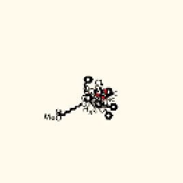 COC(=O)CCCCCCCCO[C@@H]1O[C@H](COCc2ccccc2)[C@@H](O[C@@H]2O[C@H](CCl)[C@H](OC(C)=O)[C@H](OC(C)=O)[C@H]2OC(C)=O)[C@H](O[C@@H]2O[C@@H](C)[C@@H](OCc3ccccc3)[C@@H](OCc3ccccc3)[C@@H]2OCc2ccccc2)[C@H]1NC(C)=O